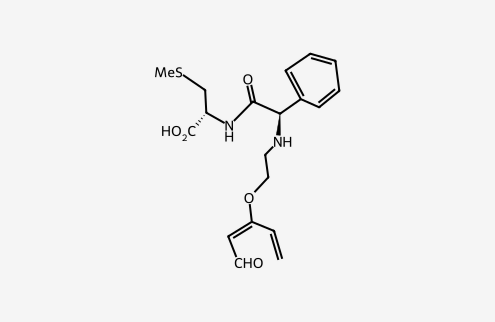 C=C/C(=C\C=O)OCCN[C@@H](C(=O)N[C@@H](CSC)C(=O)O)c1ccccc1